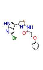 O=C(CCOc1ccccc1)Nc1nc(-c2c[nH]c3ncc(Br)cc23)cs1